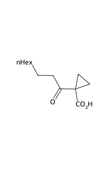 CCCCCCCCC(=O)C1(C(=O)O)CC1